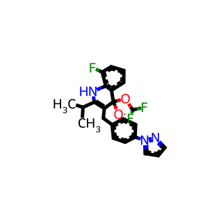 CC(C)C1=C(Cc2ccc(-n3cccn3)cc2)C([O])(OC(F)F)c2cccc(F)c2N1